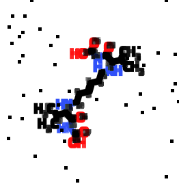 CC(C)C(NCCC=CCCN[C@H](C(=O)NC(=O)O)C(C)C)C(=O)NC(=O)O